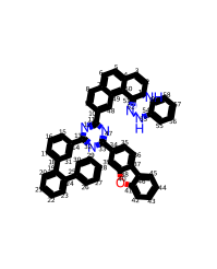 N=C1C=Cc2ccc3ccc(-c4nc(-c5cccc(-c6ccccc6-c6ccccc6)c5)nc(-c5ccc6c(c5)oc5ccccc56)n4)cc3c2/C1=N/Nc1ccccc1